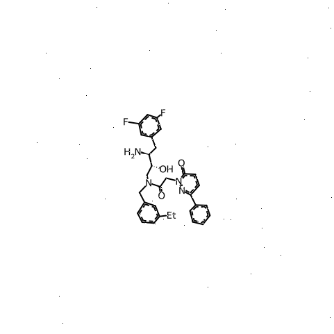 CCc1cccc(CN(C[C@@H](O)[C@@H](N)Cc2cc(F)cc(F)c2)C(=O)Cn2nc(-c3ccccc3)ccc2=O)c1